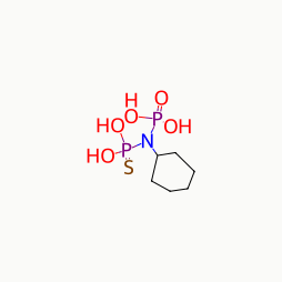 O=P(O)(O)N(C1CCCCC1)P(O)(O)=S